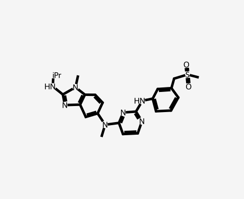 CC(C)Nc1nc2cc(N(C)c3ccnc(Nc4cccc(CS(C)(=O)=O)c4)n3)ccc2n1C